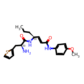 CCC[C@@H](C=CC(=O)Nc1ccc(OC)cc1)NC(=O)[C@@H](N)Cc1cccs1